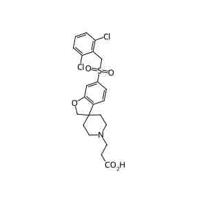 O=C(O)CCN1CCC2(CC1)COc1cc(S(=O)(=O)Cc3c(Cl)cccc3Cl)ccc12